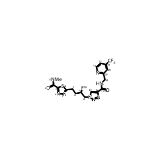 CNC(=O)c1nnc(CCC(F)Cn2cc(C(=O)NCc3cc(C(F)(F)F)ccn3)nn2)s1